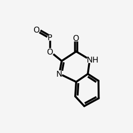 O=POc1nc2ccccc2[nH]c1=O